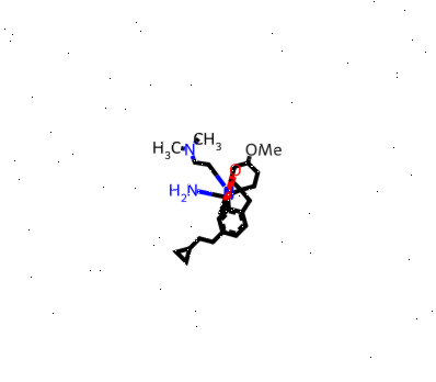 COC1CCC2(CC1)Cc1ccc(CCC3CC3)cc1C21N=C(N)N(CCN(C)C)C1=O